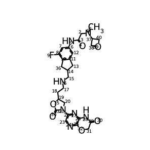 CN(CC(=O)Nc1cc(F)c2c(c1)CC(CNCCC1CN(c3cnc4c(n3)NC(=O)CO4)C(=O)O1)C2)C1COC1